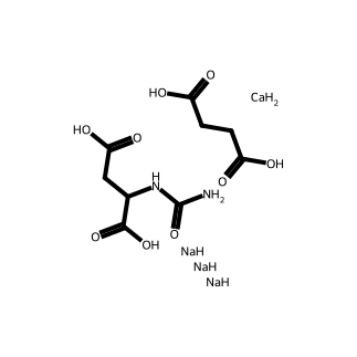 NC(=O)NC(CC(=O)O)C(=O)O.O=C(O)CCC(=O)O.[CaH2].[NaH].[NaH].[NaH]